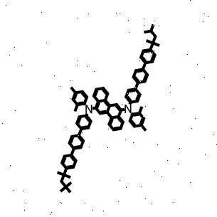 Cc1ccc(N(c2ccc(-c3ccc(-c4ccc(C(C)(C)CC(C)C)cc4)cc3)cc2)c2cc3c4ccccc4c(N(c4ccc(-c5ccc(-c6ccc(C(C)(C)CC(C)(C)C)cc6)cc5)cc4)c4ccc(C)cc4C)cc3c3ccccc23)c(C)c1